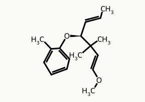 CC=C[C@H](Oc1ccccc1C)C(C)(C)C=COC